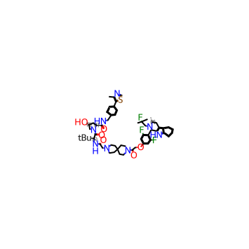 Cc1ncsc1-c1ccc(CNC(=O)[C@@H]2C[C@@H](O)CN2C(=O)[C@@H](NC(=O)CN2CCC3(CC2)CCN(C(=O)COc2cc(F)c(C4c5[nH]c6ccccc6c5C[C@@H](C)N4CC(C)(C)F)c(F)c2)CC3)C(C)(C)C)cc1